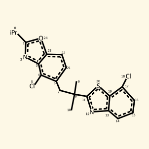 CC(C)c1nc2c(Cl)c(CC(C)(C)c3nc4cccc(Cl)c4s3)ccc2o1